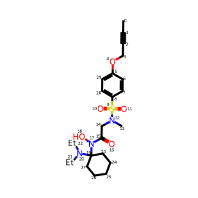 CC#CCOc1ccc(S(=O)(=O)N(C)CC(=O)N(O)C2(N(CC)CC)CCCCC2)cc1